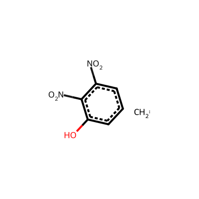 O=[N+]([O-])c1cccc(O)c1[N+](=O)[O-].[CH2]